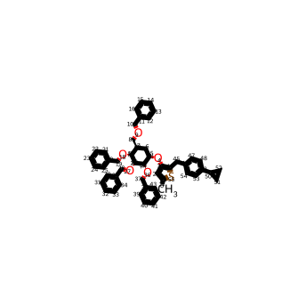 Cc1cc(O[C@@H]2C[C@H](COCc3ccccc3)[C@@H](OCc3ccccc3)[C@@H](OCc3ccccc3)[C@H]2OCc2ccccc2)c(Cc2ccc(C3CC3)cc2)s1